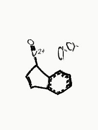 [Cl-].[Cl-].[O]=[V+2][CH]1C=Cc2ccccc21